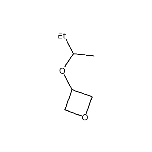 CCC(C)OC1COC1